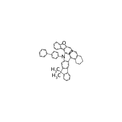 CC1(C)c2ccccc2-c2cc(-c3cccc4c3CCCC4)c(N(c3ccc(-c4ccccc4)cc3)c3cccc4oc5ccccc5c34)cc21